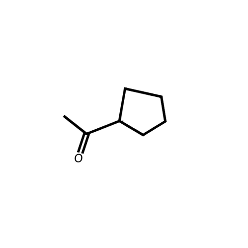 CC(=O)[C]1CCCC1